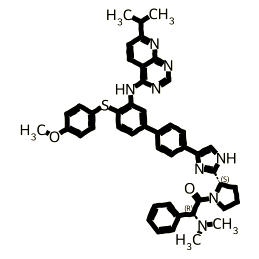 COc1ccc(Sc2ccc(-c3ccc(-c4c[nH]c([C@@H]5CCCN5C(=O)[C@@H](c5ccccc5)N(C)C)n4)cc3)cc2Nc2ncnc3nc(C(C)C)ccc23)cc1